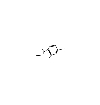 CCOC(O)c1ccc(O)cc1Cl